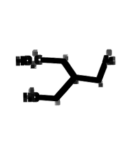 CC(=O)CC(CO)CC(=O)O